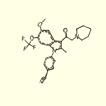 COc1cc2c(C(=O)CN3CCCCC3)c(C)n(-c3ccc(C#N)cc3)c2cc1OC(F)(F)F